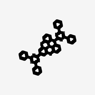 c1ccc(-c2nc(-c3ccccc3)nc(-c3cc4c5c(c3)Sc3cccc6c3B5c3c(cccc3N6c3nc(-c5ccccc5)nc(-c5ccccc5)n3)S4)n2)cc1